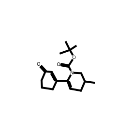 CC1CC=C(C2=CC(=O)CCC2)N(C(=O)OC(C)(C)C)C1